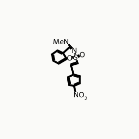 CNC(=NS(=O)(=O)C=Cc1ccc([N+](=O)[O-])cc1)c1ccccc1